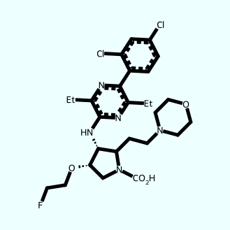 CCc1nc(-c2ccc(Cl)cc2Cl)c(CC)nc1N[C@@H]1C(CCN2CCOCC2)N(C(=O)O)C[C@@H]1OCCF